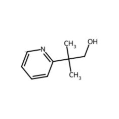 CC(C)(CO)c1ccc[c]n1